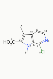 Cc1c(C(=O)O)n(C)c2c(Cl)nccc12